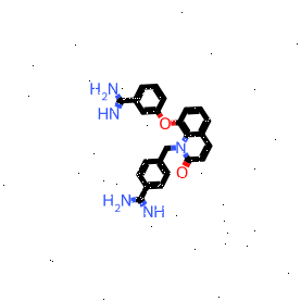 N=C(N)c1ccc(Cn2c(=O)ccc3cccc(Oc4cccc(C(=N)N)c4)c32)cc1